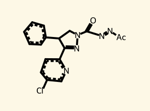 CC(=O)N=NC(=O)N1CC(c2ccccc2)C(c2ccc(Cl)cn2)=N1